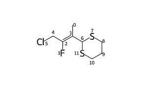 CC(=C(F)CCl)C1SCCCS1